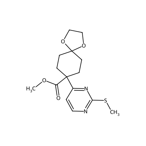 COC(=O)C1(c2ccnc(SC)n2)CCC2(CC1)OCCO2